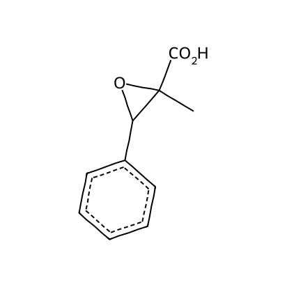 CC1(C(=O)O)OC1c1ccccc1